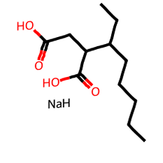 CCCCCC(CC)C(CC(=O)O)C(=O)O.[NaH]